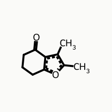 Cc1oc2c(c1C)C(=O)CCC2